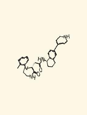 Cc1ccccc1N1CCNC(=O)[C@H]1CC(=O)N[C@@H]1CCCc2cc(C3=CCNCC3)ccc21